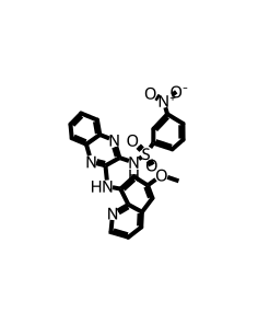 COc1cc(Nc2nc3ccccc3nc2NS(=O)(=O)c2cccc([N+](=O)[O-])c2)c2ncccc2c1